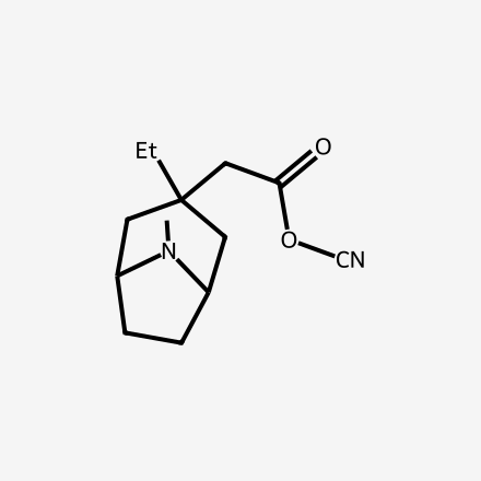 CCC1(CC(=O)OC#N)CC2CCC(C1)N2C